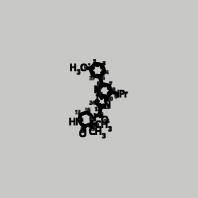 Cc1cccc(-c2cc(C(C)C)c3nc(C(=O)N4CCNC(=O)C4(C)C)cn3n2)c1